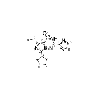 CCc1nc(C2CCCC2)n2nc(-c3nccs3)[nH]c(=O)c12